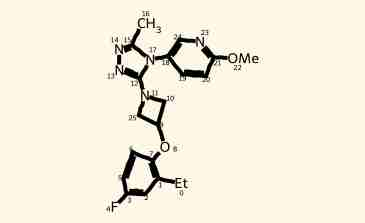 CCc1cc(F)ccc1OC1CN(c2nnc(C)n2-c2ccc(OC)nc2)C1